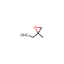 CC1(CC=O)CO1